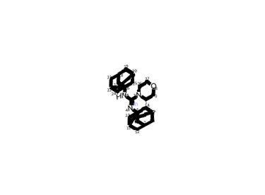 C1CN(/C(=N\C23CC4CC(CC(C4)C2)C3)NC23CC4CC(CC(C4)C2)C3)CCO1